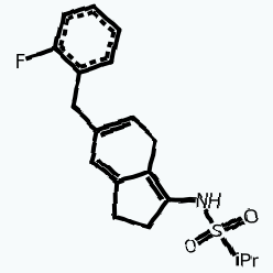 CC(C)S(=O)(=O)NC1=C2CC=C(Cc3ccccc3F)C=C2CC1